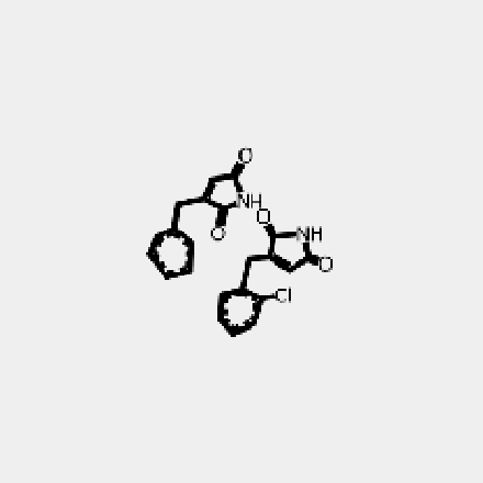 O=C1C=C(Cc2ccccc2)C(=O)N1.O=C1C=C(Cc2ccccc2Cl)C(=O)N1